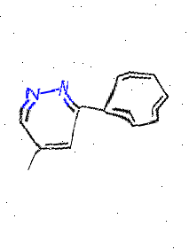 Cc1cnnc(-c2ccccc2)c1